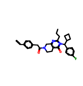 C=Cc1ccc(CC(=O)N2CCc3c(nc(CCC)n(C(c4ccc(F)cc4)C4CCC4)c3=O)C2)cc1